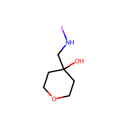 OC1(CNI)CCOCC1